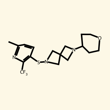 Cc1ccc(SN2CC3(C2)CN(C2CCOCC2)C3)c(C(F)(F)F)n1